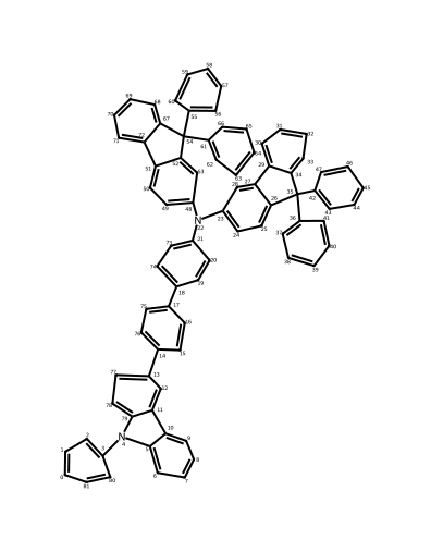 c1ccc(-n2c3ccccc3c3cc(-c4ccc(-c5ccc(N(c6ccc7c(c6)-c6ccccc6C7(c6ccccc6)c6ccccc6)c6ccc7c(c6)C(c6ccccc6)(c6ccccc6)c6ccccc6-7)cc5)cc4)ccc32)cc1